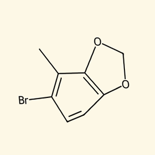 Cc1c(Br)ccc2c1OCO2